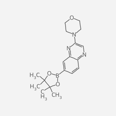 CC1(C)OB(c2ccc3ncc(N4CCOCC4)nc3c2)OC1(C)C